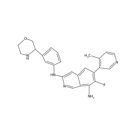 Cc1ccncc1-c1cc2cc(Nc3cccc(C4COCCN4)c3)ncc2c(N)c1F